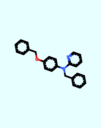 c1ccc(COc2ccc(N(Cc3ccccc3)c3ccccn3)cc2)cc1